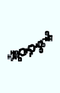 CC(=O)NC[C@H]1CN(c2ccc(N3CCC(O)(C(N)=O)CC3)c(F)c2)C(=O)O1